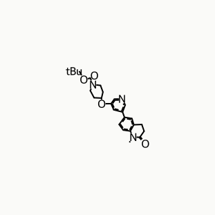 CN1C(=O)CCc2cc(-c3cncc(OC4CCN(C(=O)OC(C)(C)C)CC4)c3)ccc21